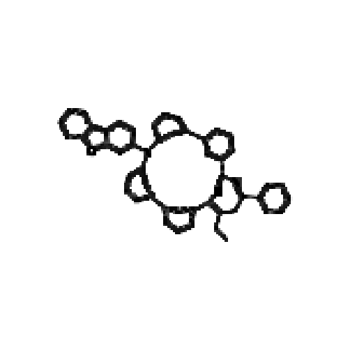 CCC1=C2N=C(N=C(c3ccccc3)C1)c1cccc(c1)-c1cccc(c1)N(c1ccc3c(c1)oc1ccccc13)c1cccc(c1)-c1cccc2c1